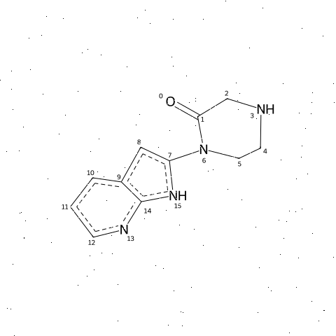 O=C1CNCCN1c1cc2cccnc2[nH]1